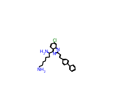 NCCCCCCC(N)c1nc(C=Cc2ccc(-c3ccccc3)cc2)nc2cc(Cl)ccc12